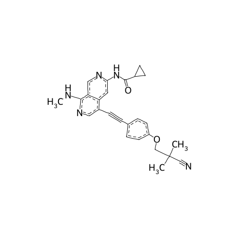 CNc1ncc(C#Cc2ccc(OCC(C)(C)C#N)cc2)c2cc(NC(=O)C3CC3)ncc12